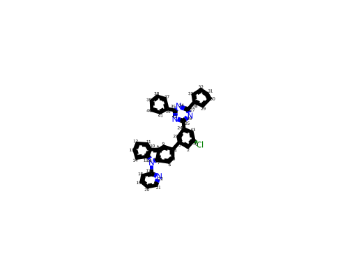 Clc1cc(-c2ccc3c(c2)c2ccccc2n3-c2ccccn2)cc(-c2nc(-c3ccccc3)nc(-c3ccccc3)n2)c1